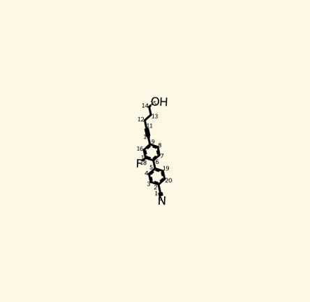 N#Cc1ccc(-c2ccc(C#CCCCO)cc2F)cc1